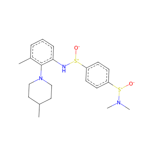 Cc1cccc(N[S+]([O-])c2ccc([S+]([O-])N(C)C)cc2)c1N1CCC(C)CC1